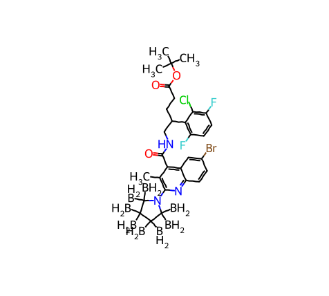 BC1(B)N(c2nc3ccc(Br)cc3c(C(=O)NCC(CCC(=O)OC(C)(C)C)c3c(F)ccc(F)c3Cl)c2C)C(B)(B)C(B)(B)C1(B)B